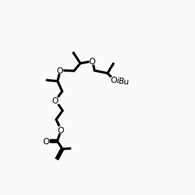 C=C(C)C(=O)OCCOCC(C)OCC(C)OCC(C)OCC(C)C